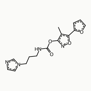 Cc1c(OC(=O)NCCCn2ccnc2)noc1-c1ccco1